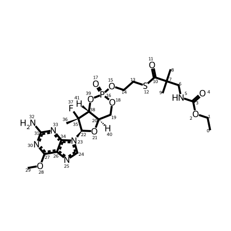 CCOC(=O)NCC(C)(C)C(=O)SCCOP1(=O)OC[C@H]2O[C@@H](n3cnc4c(OC)nc(N)nc43)[C@](C)(F)[C@@H]2O1